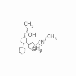 C/C=C\C(=C/C(C)C1CN(CCC)C1)[C@@H]1C/C(=C\C(O)=C/CC)CC[C@@H]1[C@@H]1CC=CCC1